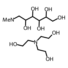 CNCC(O)C(O)C(O)C(O)CO.OCCN(CCO)CCO